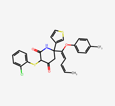 C/C=C\C=C(Oc1ccc(C(F)(F)F)cc1)C1(c2ccsc2)CC(=O)C(Sc2ccccc2Cl)C(=O)N1